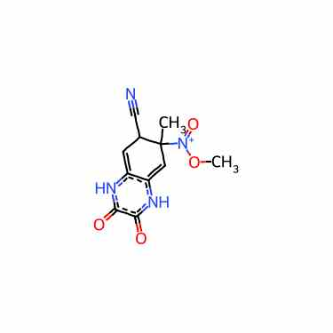 CO[N+](=O)C1(C)C=c2[nH]c(=O)c(=O)[nH]c2=CC1C#N